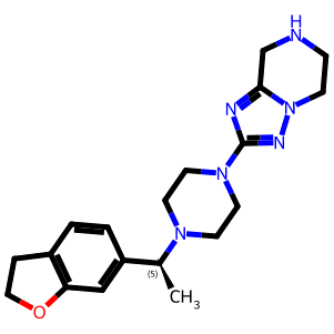 C[C@@H](c1ccc2c(c1)OCC2)N1CCN(c2nc3n(n2)CCNC3)CC1